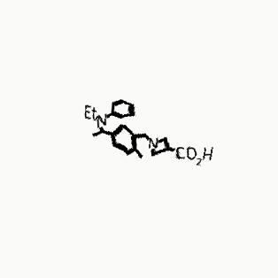 CCN(c1ccccc1)C(C)c1ccc(C)c(CN2CC(C(=O)O)C2)c1